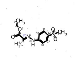 CCOC(=O)/C(C)=N/Nc1ccc(S(C)(=O)=O)cc1